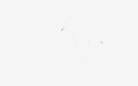 C=C1CC[C@H](O)C/C1=C\C=C1/CCC[C@@]2(C)[C@H]1CC[C@@H]2[C@@](C)(O)CCCC(C)C